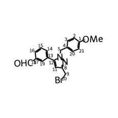 COc1ccc(Cn2nc(CBr)cc2-c2cccc(C=O)c2)cc1